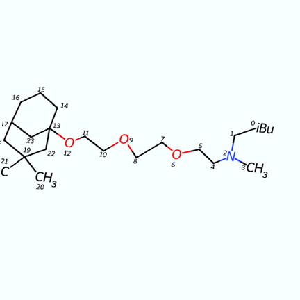 CCC(C)CN(C)CCOCCOCCOC12CCCC(CC(C)(C)C1)C2